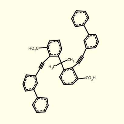 CC(C)(c1cccc(C(=O)O)c1C#Cc1cccc(-c2ccccc2)c1)c1cccc(C(=O)O)c1C#Cc1cccc(-c2ccccc2)c1